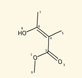 COC(=O)C(C)=C(C)O